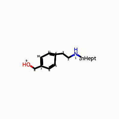 CCCCCCCNCCc1ccc(CO)cc1